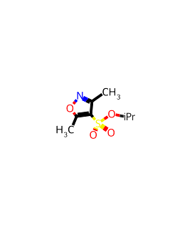 Cc1noc(C)c1S(=O)(=O)OC(C)C